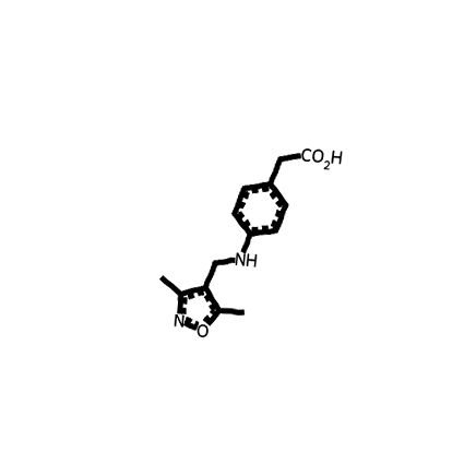 Cc1noc(C)c1CNc1ccc(CC(=O)O)cc1